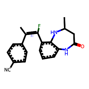 C/C(=C(\F)c1cccc2c1NC(C)CC(=O)N2)c1ccc(C#N)cc1